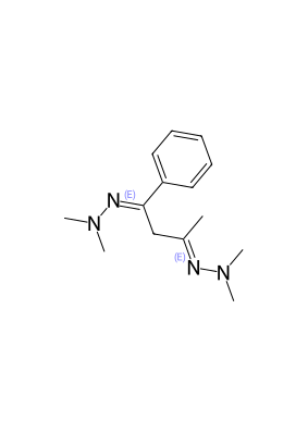 C/C(C/C(=N\N(C)C)c1ccccc1)=N\N(C)C